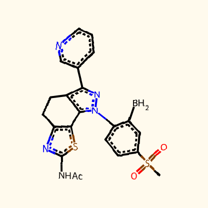 Bc1cc(S(C)(=O)=O)ccc1-n1nc(-c2cccnc2)c2c1-c1sc(NC(C)=O)nc1CC2